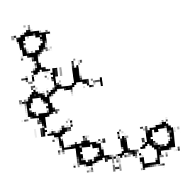 O=C(O)CC(NC(=O)c1ccccc1)c1cccc(NC(=O)Cc2ccc(NC(=O)N3CCc4ccccc43)cc2)c1